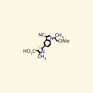 COCC(C)n1cc(C#N)c2cc(-c3nc(C)c(C(=O)O)s3)ccc21